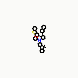 CC1(C)c2ccccc2-c2ccc(N(c3ccccc3)c3cccc(-c4ccc5ccccc5c4)c3-c3ccc4sc5ccccc5c4c3)cc21